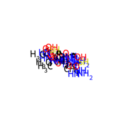 CCCC[C@H](NC(=O)[C@H](CCCNC(=N)N)NC(=O)[C@@H](N)CS)C(=O)N[C@@H](Cc1ccc(O)cc1)C(=O)N[C@@H](Cc1ccccc1)C(=O)N1CCC[C@H]1C(=O)NC(C)(C)C(=O)N[C@H](C(=O)N[C@@H](CC(C)C)C(=O)N[C@@H](CS)C(=O)O)[C@@H](C)CC